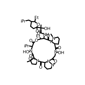 CCC1OC(O)(C(C)(O)C(=O)NC2C(=O)N3C(CCCN3C)C(=O)N(O)CC(=O)N3C(CCCN3C)C(=O)N3CCC(C)(O)C3C(=O)N(O)C(C(C)C)C(=O)OC2CC)CCC1CC(C)C